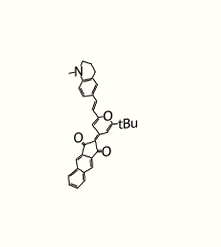 CN1CCCc2cc(C=CC3=CC(=C4C(=O)c5cc6ccccc6cc5C4=O)C=C(C(C)(C)C)O3)ccc21